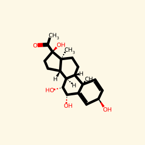 CC(=O)[C@@]1(O)CC[C@H]2[C@@H]3[C@@H](O)[C@@H](O)C4=C[C@H](O)C=C[C@]4(C)[C@H]3CC[C@@]21C